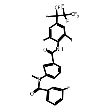 CN(C(=O)c1cccc(F)c1)c1cccc(C(=O)Nc2c(I)cc(C(F)(C(F)(F)F)C(F)(F)C(F)(F)F)cc2I)c1